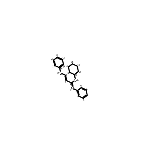 C(=CC(=Nc1ccccc1)SC1CCCCC1)Sc1ccccc1